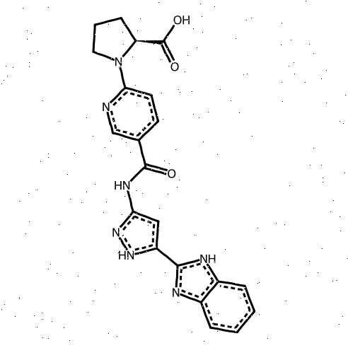 O=C(Nc1cc(-c2nc3ccccc3[nH]2)[nH]n1)c1ccc(N2CCC[C@H]2C(=O)O)nc1